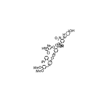 COc1ccc(CN2CCN(C3CC4(C3)CN(c3ccc(C(=O)NS(=O)(=O)c5ccc(NCC6CCC(C)(O)CC6)c([N+](=O)[O-])c5)c(Oc5cnc6[nH]cc(Cl)c6c5)c3)C4)[C@H](c3ccccc3C(C)C)C2)cc1OC